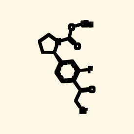 CC(C)(C)OC(=O)N1CCC[C@@H]1c1ccc(C(=O)CBr)c(F)c1